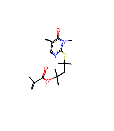 C=C(C)C(=O)OC(C)(C)CC(C)(C)Sc1ncc(C)c(=O)n1C